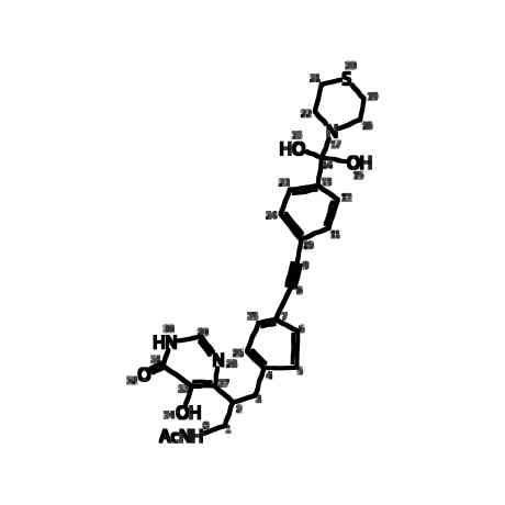 CC(=O)NCC(Cc1ccc(C#Cc2ccc(C(O)(O)N3CCSCC3)cc2)cc1)c1nc[nH]c(=O)c1O